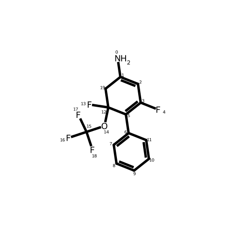 NC1=CC(F)=C(c2ccccc2)C(F)(OC(F)(F)F)C1